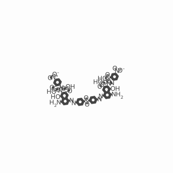 Nc1ccc(N=Nc2ccc(S(=O)(=O)c3ccc(N=Nc4ccc(N)c5c(O)c(N=Nc6ccc([N+](=O)[O-])cc6S(=O)(=O)O)c(S(=O)(=O)O)cc45)cc3)cc2)c2cc(S(=O)(=O)O)c(N=Nc3ccc([N+](=O)[O-])cc3S(=O)(=O)O)c(O)c12